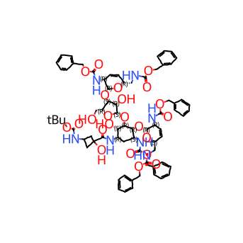 CC(C)(C)OC(=O)NC1CC(O)(C(=O)N[C@@H]2C[C@H](NC(=O)OCc3ccccc3)[C@@H](O[C@H]3O[C@H](CNC(=O)OCc4ccccc4)C=C[C@H]3NC(=O)OCc3ccccc3)[C@H](O[C@@H]3O[C@H](CO)[C@@H](O[C@H]4O[C@@H](CNC(=O)OCc5ccccc5)C=C[C@H]4NC(=O)OCc4ccccc4)[C@H]3O)[C@H]2O)C1